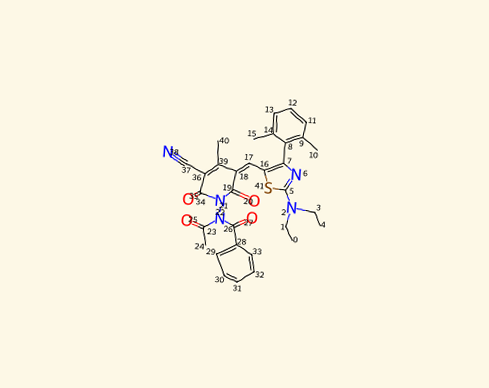 CCN(CC)c1nc(-c2c(C)cccc2C)c(/C=C2\C(=O)N(N(C(C)=O)C(=O)c3ccccc3)C(=O)C(C#N)=C2C)s1